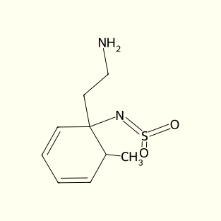 CC1C=CC=CC1(CCN)N=S(=O)=O